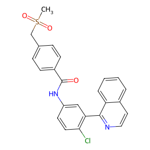 CS(=O)(=O)Cc1ccc(C(=O)Nc2ccc(Cl)c(-c3nccc4ccccc34)c2)cc1